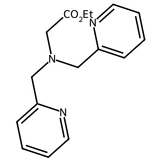 CCOC(=O)CN(Cc1ccccn1)Cc1ccccn1